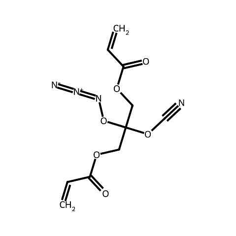 C=CC(=O)OCC(COC(=O)C=C)(OC#N)ON=[N+]=[N-]